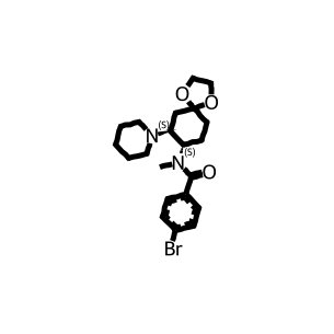 CN(C(=O)c1ccc(Br)cc1)[C@H]1CCC2(C[C@@H]1N1CCCCC1)OCCO2